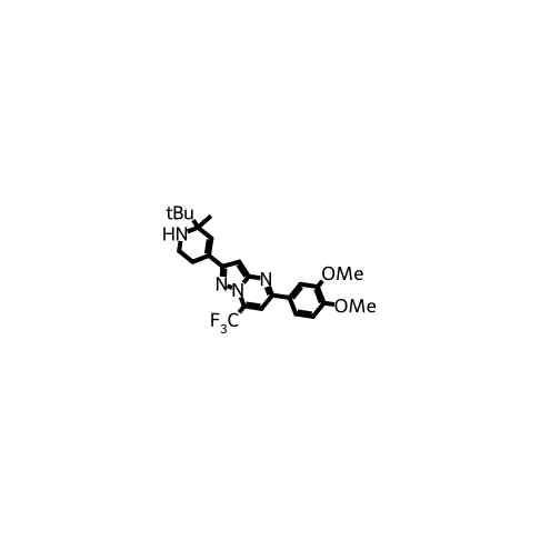 COc1ccc(-c2cc(C(F)(F)F)n3nc(C4=CC(C)(C(C)(C)C)NCC4)cc3n2)cc1OC